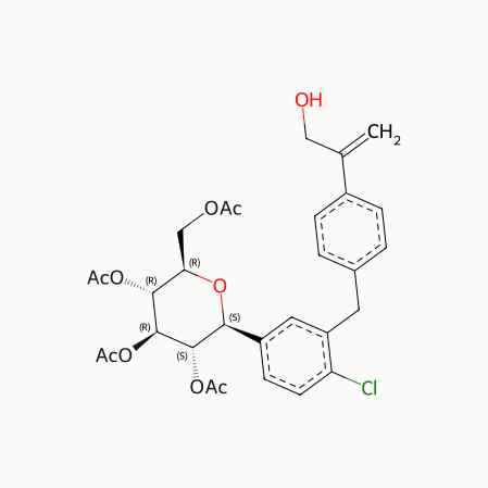 C=C(CO)c1ccc(Cc2cc([C@@H]3O[C@H](COC(C)=O)[C@@H](OC(C)=O)[C@H](OC(C)=O)[C@H]3OC(C)=O)ccc2Cl)cc1